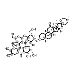 C[C@@H]1CC[C@@]2(OC1)O[C@H]1C[C@H]3[C@@H]4CC[C@H]5C[C@@H](O[C@@H]6O[C@H](CO)[C@H](O[C@@H]7O[C@H](CO)[C@@H](O)[C@H](O[C@@H]8OC[C@@H](O)[C@H](O)[C@H]8O)[C@H]7O[C@@H]7O[C@H](CO)[C@H](O)[C@H](O)[C@H]7O)[C@H](O)[C@H]6O)CC[C@]5(C)[C@H]4CC(=O)[C@]3(C)[C@H]1[C@@H]2C